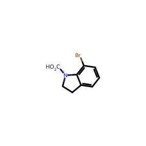 O=C(O)N1CCc2cccc(Br)c21